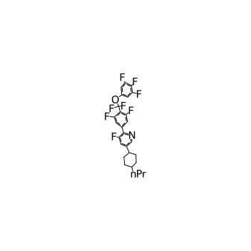 CCCC1CCC(c2cnc(-c3cc(F)c(C(F)(F)Oc4cc(F)c(F)c(F)c4)c(F)c3)c(F)c2)CC1